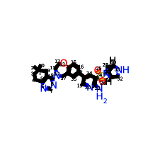 CC1(C)CCc2ncnc(N3CCOc4ccc(-c5cnc(N)c(S(=O)(=O)N6C[C@H]7C[C@@H]6CN7)c5)cc4C3)c2C1